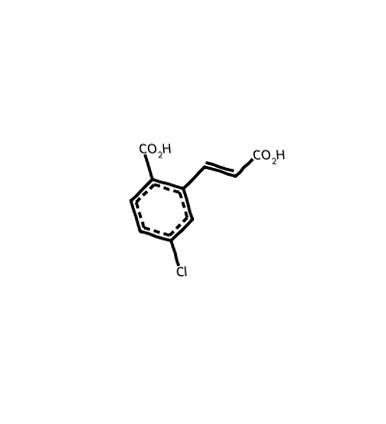 O=C(O)C=Cc1cc(Cl)ccc1C(=O)O